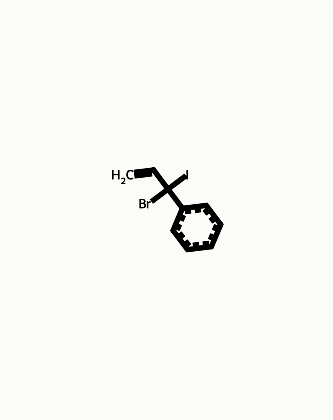 C=CC(Br)(I)c1ccccc1